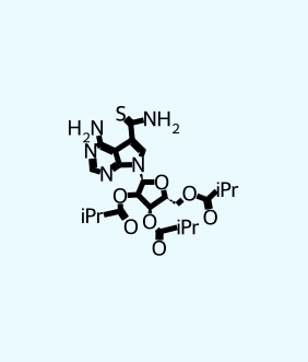 CC(C)C(=O)OC[C@H]1O[C@@H](n2cc(C(N)=S)c3c(N)ncnc32)C(OC(=O)C(C)C)[C@@H]1OC(=O)C(C)C